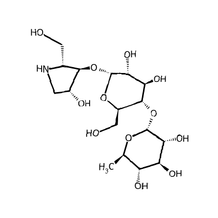 C[C@H]1O[C@H](O[C@H]2[C@H](O)[C@@H](O)[C@@H](O[C@H]3[C@H](O)CN[C@@H]3CO)O[C@@H]2CO)[C@H](O)[C@@H](O)[C@@H]1O